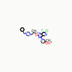 CC(COc1nc(N2CCC[C@@](C)(O)C2)c2cnc(Cl)c(F)c2n1)CN1CCN(Cc2ccccc2)CC1